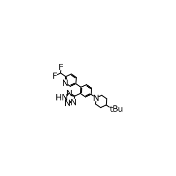 CC(C)(C)C1CCN(c2ccc(-c3ccc(C(F)F)nc3)c(-c3nn[nH]n3)c2)CC1